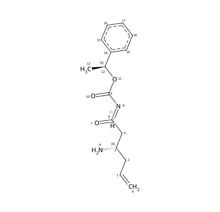 C=CC[C@H](N)C/[SH](=O)=N/C(=O)O[C@@H](C)c1ccccc1